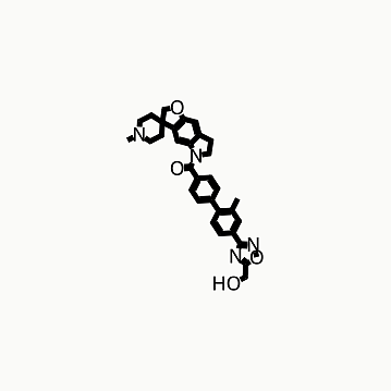 Cc1cc(-c2noc(CO)n2)ccc1-c1ccc(C(=O)N2CCc3cc4c(cc32)C2(CCN(C)CC2)CO4)cc1